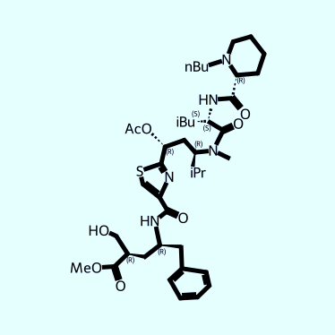 CCCCN1CCCC[C@@H]1C(=O)N[C@H](C(=O)N(C)[C@H](C[C@@H](OC(C)=O)c1nc(C(=O)N[C@@H](Cc2ccccc2)C[C@H](CO)C(=O)OC)cs1)C(C)C)[C@@H](C)CC